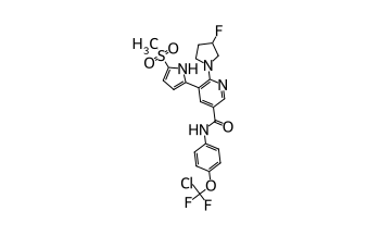 CS(=O)(=O)c1ccc(-c2cc(C(=O)Nc3ccc(OC(F)(F)Cl)cc3)cnc2N2CCC(F)C2)[nH]1